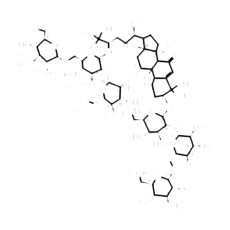 C[C@@H]1[C@@H](O)[C@H](OC[C@H]2O[C@@H](O[C@H](CC[C@@H](C)C3CC[C@@]4(C)C5C(=O)C=C6C(CC[C@H](O[C@@H]7O[C@H](CO)[C@@H](O)[C@H](O)[C@H]7O[C@H]7O[C@@H](CO[C@@H]8O[C@H](CO)[C@@H](O)[C@H](O)[C@H]8O)[C@H](O)[C@@H](O)[C@@H]7O)C6(C)C)[C@]5(C)[C@H](O)C[C@]34C)C(C)(C)O)[C@H](O[C@H]3O[C@@H](CO)[C@H](O)[C@@H](O)[C@@H]3O)[C@@H](O)[C@@H]2O)O[C@H](CO)[C@H]1O